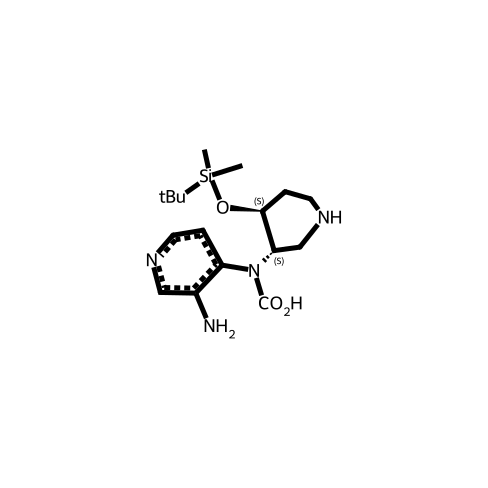 CC(C)(C)[Si](C)(C)O[C@H]1CCNC[C@@H]1N(C(=O)O)c1ccncc1N